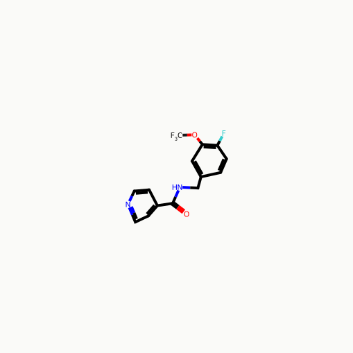 O=C(NCc1ccc(F)c(OC(F)(F)F)c1)c1ccncc1